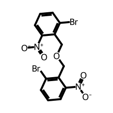 O=[N+]([O-])c1cccc(Br)c1COCc1c(Br)cccc1[N+](=O)[O-]